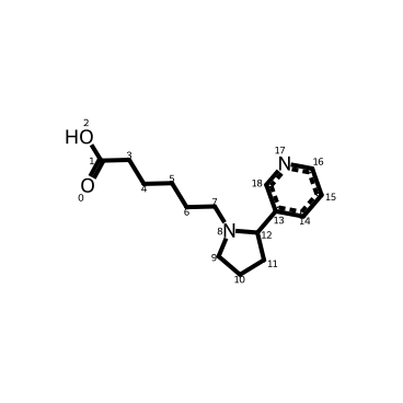 O=C(O)CCCCCN1CCCC1c1cccnc1